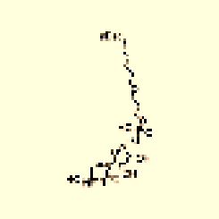 CCCCCCCCCCCCCCCCOCCCOP(=O)(O)OC[C@H]1O[C@@H](n2ccc(NO)nc2=O)C(O)C1O